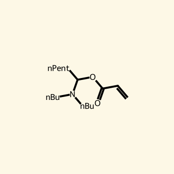 C=CC(=O)OC(CCCCC)N(CCCC)CCCC